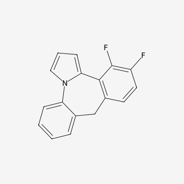 Fc1ccc2c(c1F)-c1cccn1-c1ccccc1C2